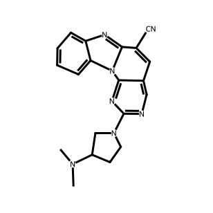 CN(C)C1CCN(c2ncc3cc(C#N)c4nc5ccccc5n4c3n2)C1